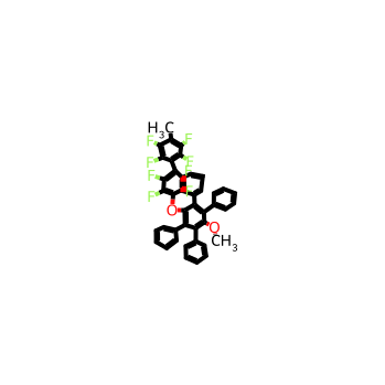 COc1c(-c2ccccc2)c(-c2ccccc2)c(Oc2c(F)c(F)c(-c3c(F)c(F)c(C)c(F)c3F)c(F)c2F)c(-c2ccccc2)c1-c1ccccc1